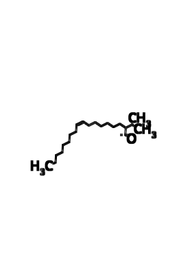 CCCCCCCC/C=C\CCCCCCC([C]=O)C(C)C